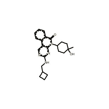 CC1(O)CCC(n2c(=O)c3ccccc3c3cnc(NCC4CCC4)nc32)CC1